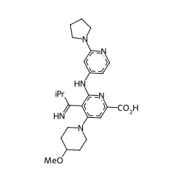 COC1CCN(c2cc(C(=O)O)nc(Nc3ccnc(N4CCCC4)c3)c2C(=N)C(C)C)CC1